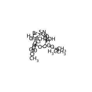 Cc1ccc(S(=O)(=O)OC[C@@H]2COc3ccc(OCOCC[Si](C)(C)C)c(c3)C[C@H](C(=O)O)Oc3ncnc4sc(Br)c(c34)-c3c(C)c(Cl)c(c(Cl)c3C)O2)cc1